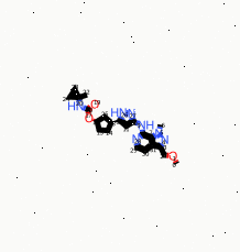 COCc1nn(C)c2c(Nc3cc([C@H]4CC[C@@H](OC(=O)NC5(C)CC5)C4)[nH]n3)nccc12